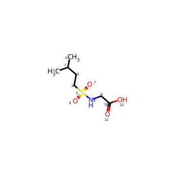 CC(C)CCS(=O)(=O)NCC(=O)O